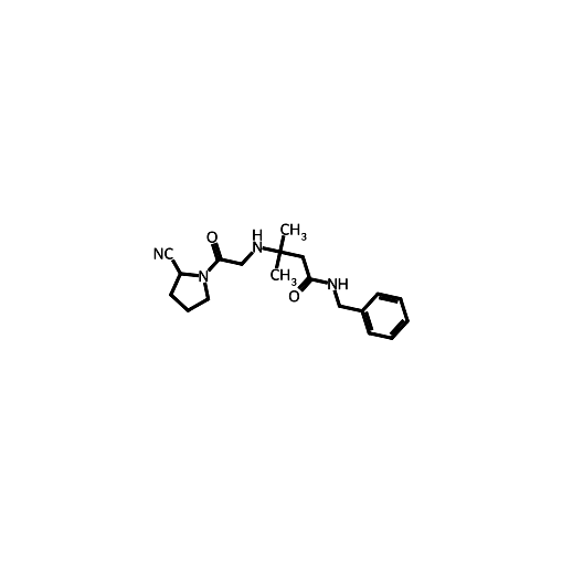 CC(C)(CC(=O)NCc1ccccc1)NCC(=O)N1CCCC1C#N